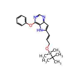 CC(C)(C)[Si](C)(C)OCC=Cc1cc2ncnc(Oc3ccccc3)c2[nH]1